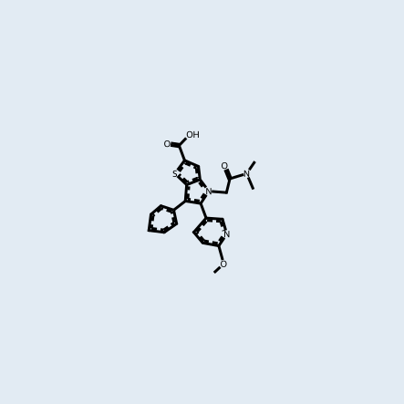 COc1ccc(-c2c(-c3ccccc3)c3sc(C(=O)O)cc3n2CC(=O)N(C)C)cn1